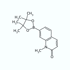 Cn1c(=O)ccc2ccc(B3OC(C)(C)C(C)(C)O3)cc21